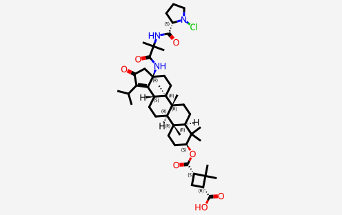 CC(C)C1=C2[C@H]3CC[C@@H]4[C@@]5(C)CC[C@H](OC(=O)[C@H]6C[C@@H](C(=O)O)C6(C)C)C(C)(C)[C@@H]5CC[C@@]4(C)[C@]3(C)CC[C@@]2(NC(=O)C(C)(C)NC(=O)[C@@H]2CCCN2Cl)CC1=O